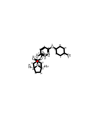 CCC1CCC(Oc2ccc(O[C@@H]3C[C@H]4CC[C@@H](C3)N4C(=O)OC(C)(C)C)nn2)CC1